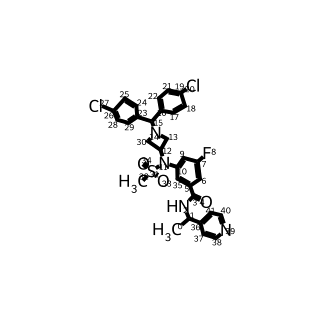 CC(NC(=O)c1cc(F)cc(N(C2CN(C(c3ccc(Cl)cc3)c3ccc(Cl)cc3)C2)S(C)(=O)=O)c1)c1ccncc1